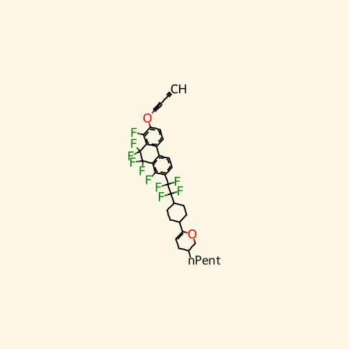 C#CC#COc1ccc2c(c1F)C(F)(F)C(F)(F)c1c-2ccc(C(F)(F)C(F)(F)C2CCC(C3=CCC(CCCCC)CO3)CC2)c1F